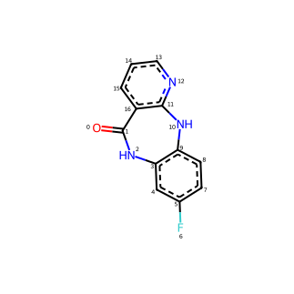 O=C1Nc2cc(F)ccc2Nc2ncccc21